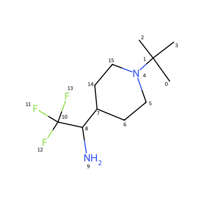 CC(C)(C)N1CCC(C(N)C(F)(F)F)CC1